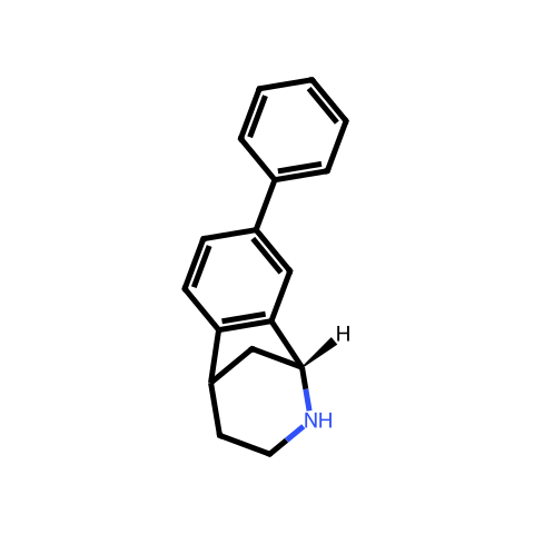 c1ccc(-c2ccc3c(c2)[C@H]2CC3CCN2)cc1